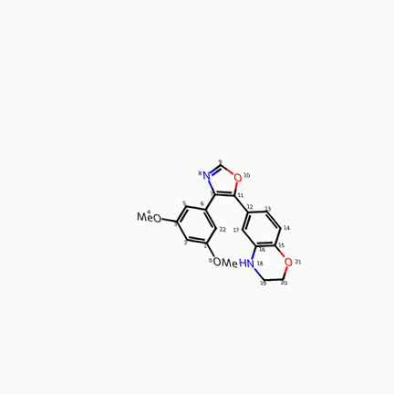 COc1cc(OC)cc(-c2ncoc2-c2ccc3c(c2)NCCO3)c1